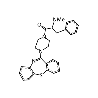 CNC(Cc1ccccc1)C(=O)N1CCN(C2=Nc3ccccc3Sc3ccccc32)CC1